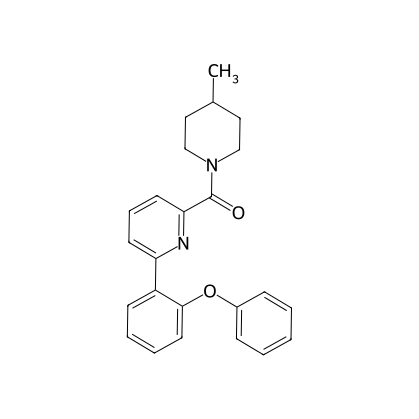 CC1CCN(C(=O)c2cccc(-c3ccccc3Oc3ccccc3)n2)CC1